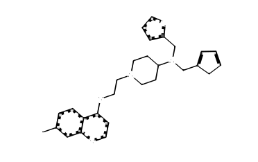 Clc1ccc2c(NCCN3CCC(N(CC4=CC=CC4)Cc4ccco4)CC3)ccnc2c1